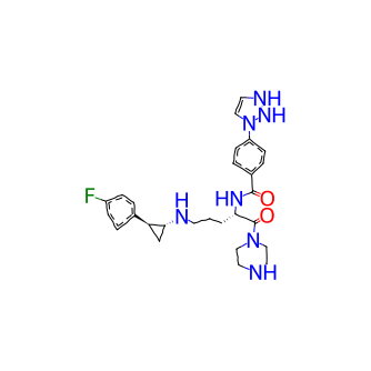 O=C(N[C@@H](CCCN[C@@H]1C[C@H]1c1ccc(F)cc1)C(=O)N1CCNCC1)c1ccc(N2C=CNN2)cc1